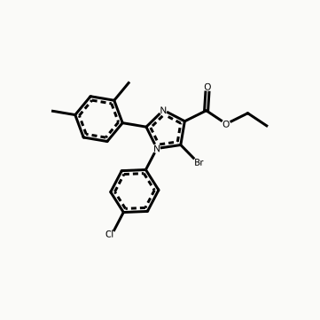 CCOC(=O)c1nc(-c2ccc(C)cc2C)n(-c2ccc(Cl)cc2)c1Br